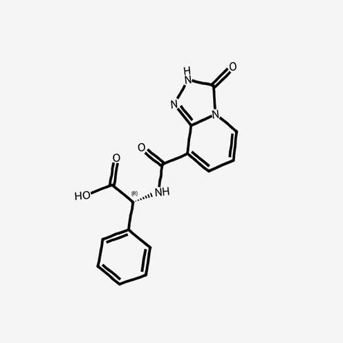 O=C(N[C@@H](C(=O)O)c1ccccc1)c1cccn2c(=O)[nH]nc12